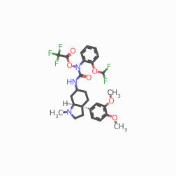 COc1ccc([C@@]23CCC(NC(=O)N(OC(=O)C(F)(F)F)c4ccccc4OC(F)F)C[C@@H]2N(C)CC3)cc1OC